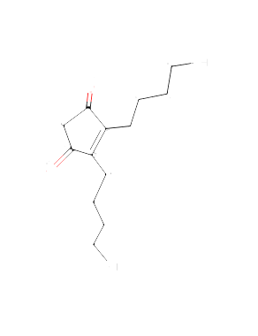 CCCCCC1=C(CCCCC)C(=O)CC1=O